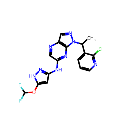 CC(c1cccnc1Cl)n1ncc2ncc(Nc3cc(OC(F)F)[nH]n3)nc21